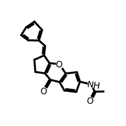 CC(=O)Nc1ccc2c(=O)c3c(oc2c1)C(=Cc1ccccc1)CC3